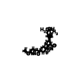 CC(C)(O)Cn1cc(-c2cnc(O[C@H]3CCN(C(=O)Cc4ccc(OC5CC5)cn4)C[C@H]3F)c(C(N)=O)c2)cn1